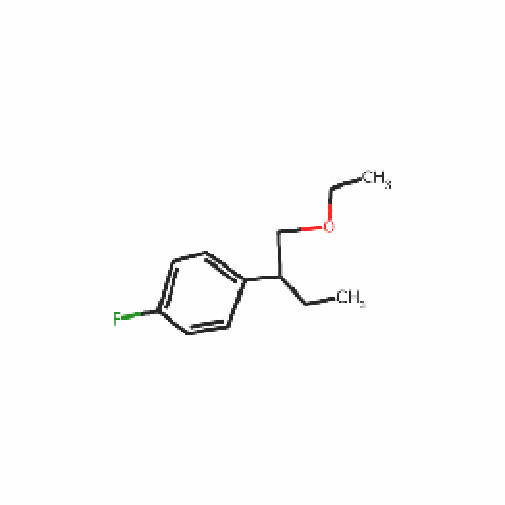 CCOCC(CC)c1ccc(F)cc1